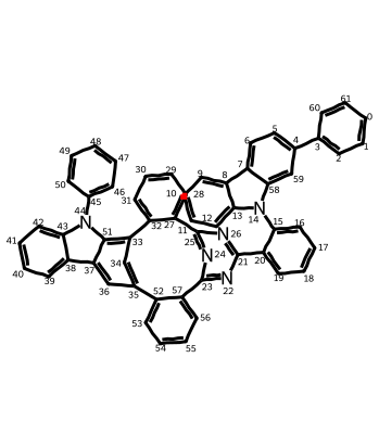 c1ccc(-c2ccc3c4ccccc4n(-c4ccccc4-c4nc5nc(n4)c4ccccc4c4cc(cc6c7ccccc7n(-c7ccccc7)c46)c4ccccc54)c3c2)cc1